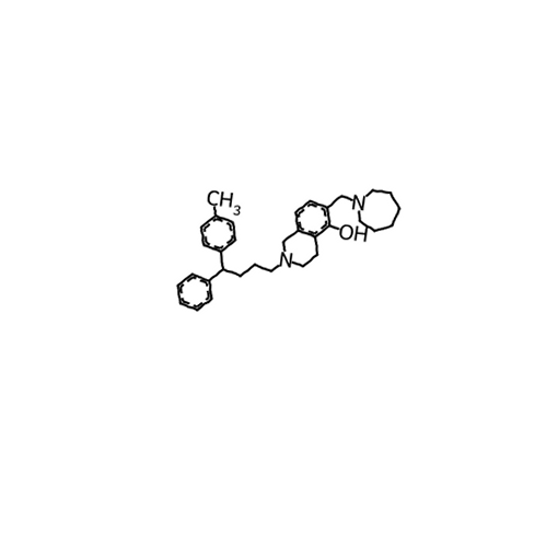 Cc1ccc(C(CCCN2CCc3c(ccc(CN4CCCCCC4)c3O)C2)c2ccccc2)cc1